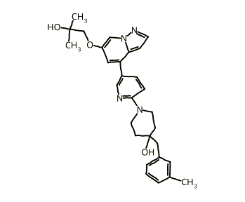 Cc1cccc(CC2(O)CCN(c3ccc(-c4cc(OCC(C)(C)O)cn5nccc45)cn3)CC2)c1